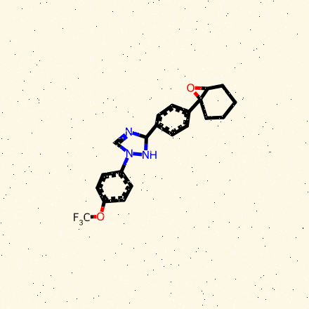 FC(F)(F)Oc1ccc(N2C=NC(c3ccc(C45CCCCC4O5)cc3)N2)cc1